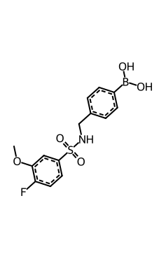 COc1cc(S(=O)(=O)NCc2ccc(B(O)O)cc2)ccc1F